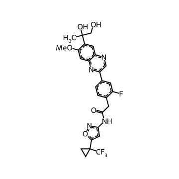 COc1cc2nc(-c3ccc(CC(=O)Nc4cc(C5(C(F)(F)F)CC5)on4)c(F)c3)cnc2cc1C(C)(O)CO